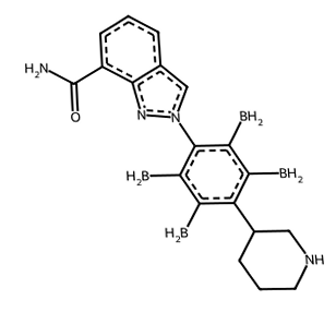 Bc1c(B)c(-n2cc3cccc(C(N)=O)c3n2)c(B)c(B)c1C1CCCNC1